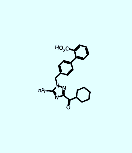 CCCc1nc(C(=O)C2CCCCC2)nn1Cc1ccc(-c2ccccc2C(=O)O)cc1